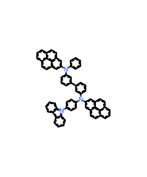 c1ccc(N(c2cccc(-c3cccc(N(c4ccc(-n5c6ccccc6c6ccccc65)cc4)c4cc5ccc6cccc7ccc(c4)c5c67)c3)c2)c2cc3ccc4cccc5ccc(c2)c3c45)cc1